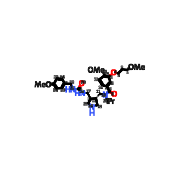 COCCCOc1cc(C(=O)N(C[C@@H]2CNC[C@H]2CNC(=O)NCc2ccc(OC)cc2)C(C)C)ccc1OC